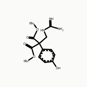 CC(C)(C)OC(=O)C(CNC(=N)N)(C(=O)OC(C)(C)C)c1ccc(O)cc1